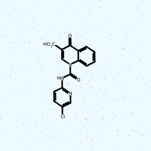 O=C(O)c1cn(C(=O)Nc2ccc(Cl)cn2)c2ccccc2c1=O